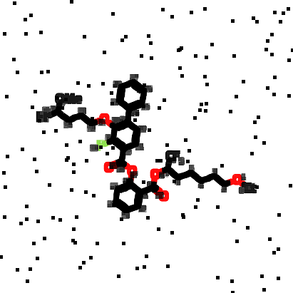 CCOCCCCCC(OC(=O)c1ccccc1OC(=O)c1ccc(-c2ccccc2)c(OCCCC(CC)OC)c1F)C(F)(F)F